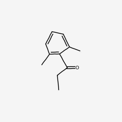 CCC(=O)c1c(C)cccc1C